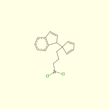 [Cl][Zr]([Cl])[CH2]CCC1(C2C=Cc3ccccc32)C=CC=C1